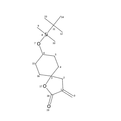 C=C1CC2(CCC(O[Si](C)(C)C(C)(C)C)CC2)OC1=O